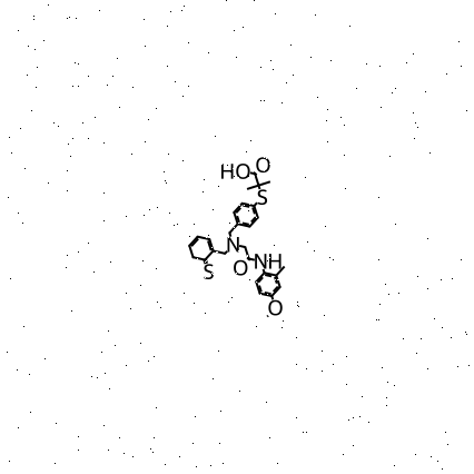 COc1ccc(NC(=O)CN(CC2=CC=CCC2=S)Cc2ccc(SC(C)(C)C(=O)O)cc2)c(C)c1